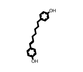 Oc1ccc(C=CCCCCCc2ccc(O)cc2)cc1